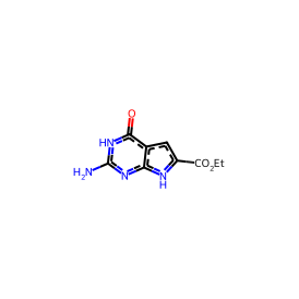 CCOC(=O)c1cc2c(=O)[nH]c(N)nc2[nH]1